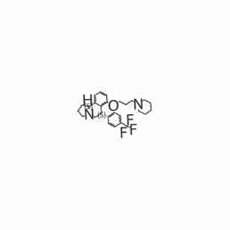 FC(F)(F)c1ccc([C@@H]2CN3CCC[C@H]3c3cccc(OCCCN4CCCCC4)c32)cc1